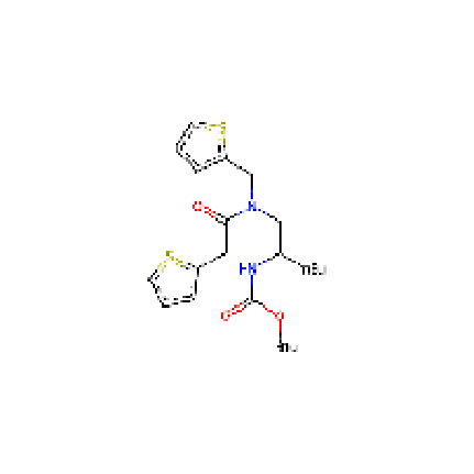 [CH2]CCCC(CN(Cc1cccs1)C(=O)Cc1cccs1)NC(=O)OC(C)(C)C